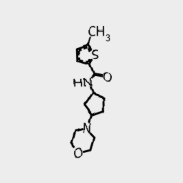 Cc1ccc(C(=O)NC2CCC(N3CCOCC3)C2)s1